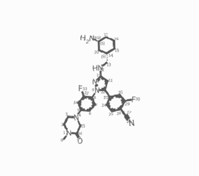 CN1CCN(c2ccc(-n3nc(NC[C@H]4CCC[C@H](N)C4)cc3-c3ccc(C#N)c(F)c3)c(F)c2)CC1=O